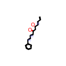 C=C/C=C/C(=O)CC(=O)/C=C/C=C/c1ccccc1